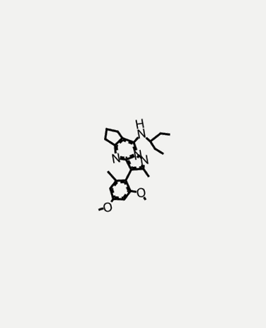 CCC(CC)Nc1c2c(nc3c(-c4c(C)cc(OC)cc4OC)c(C)nn13)CCC2